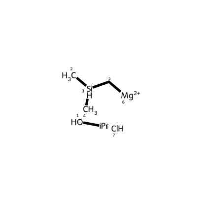 CC(C)O.C[SiH](C)[CH2][Mg+2].Cl